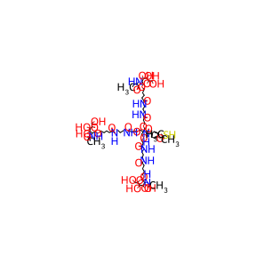 CCC(C=O)NC1C(OCCCCC(=O)NCCCNC(=O)CCOCC(COCCC(=O)NCCCNC(=O)CCCCOC2OC(CO)C(O)C(O)C2NC(C)=O)(COCCC(=O)NCCCNC(=O)CCCCOC2OC(CO)C(O)C(O)C2NC(C)=O)NC(=O)c2ccc(OC(C)(C)S)cc2)OC(CO)C(O)C1O